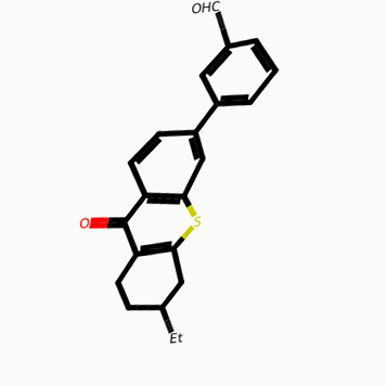 CCC1CCc2c(sc3cc(-c4cccc(C=O)c4)ccc3c2=O)C1